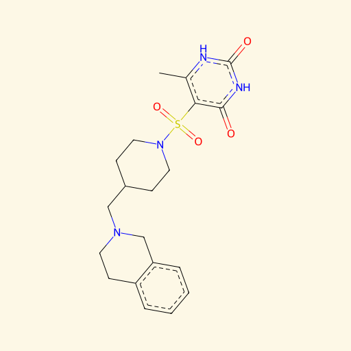 Cc1[nH]c(=O)[nH]c(=O)c1S(=O)(=O)N1CCC(CN2CCc3ccccc3C2)CC1